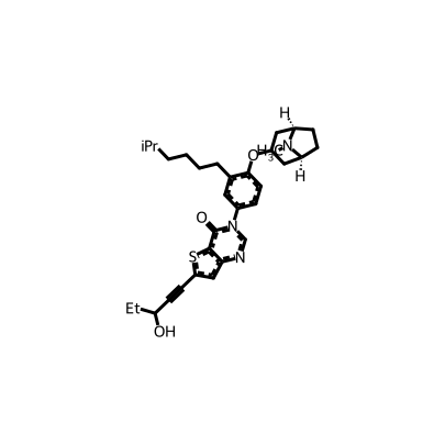 CCC(O)C#Cc1cc2ncn(-c3ccc(OC4C[C@H]5CC[C@@H](C4)N5C)c(CCCCC(C)C)c3)c(=O)c2s1